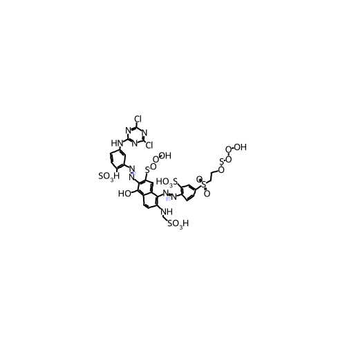 O=S(=O)(O)CNc1ccc2c(O)c(/N=N/c3cc(Nc4nc(Cl)nc(Cl)n4)ccc3S(=O)(=O)O)c(SOOO)cc2c1/N=N/c1ccc(S(=O)(=O)CCOSOOO)cc1S(=O)(=O)O